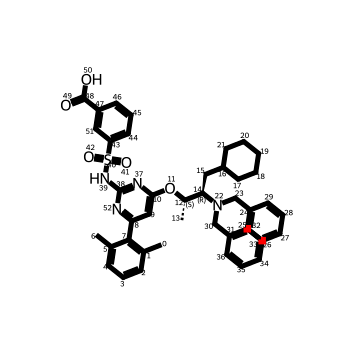 Cc1cccc(C)c1-c1cc(O[C@@H](C)[C@@H](CC2CCCCC2)N(Cc2ccccc2)Cc2ccccc2)nc(NS(=O)(=O)c2cccc(C(=O)O)c2)n1